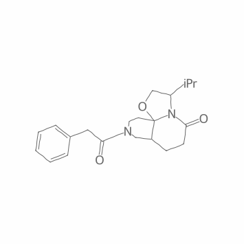 CC(C)C1COC23CCN(C(=O)Cc4ccccc4)CC2CCC(=O)N13